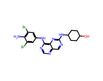 Nc1c(Br)cc(Nc2ncnc3cnc(NC4CCC(O)CC4)nc23)cc1Br